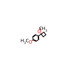 COc1ccc(C2(OC)CCC2)cc1